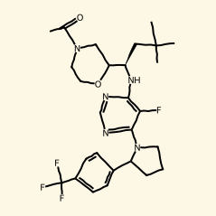 CC(=O)N1CCOC([C@@H](CC(C)(C)C)Nc2ncnc(N3CCCC3c3ccc(C(F)(F)F)cc3)c2F)C1